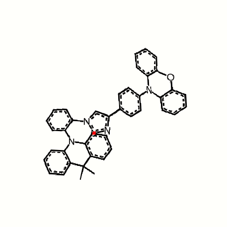 CC1(C)c2ccccc2N(c2ccccc2-n2cc(-c3ccc(N4c5ccccc5Oc5ccccc54)cc3)nn2)c2ccccc21